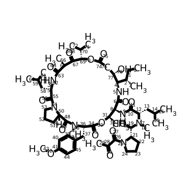 CC[C@H](C)[C@H]1NC(=O)[C@@H](NC(=O)[C@H](CC(C)C)N(C)C(O)[C@@H]2CCCN2C(=O)C(C)=O)[C@@H](C)OC(=O)[C@H](Cc2ccc(OC)cc2)N(C)C(=O)[C@@H]2CCCN2C(=O)[C@H](CC(C)C)NC(=O)[C@@H](C)C(=O)[C@H](C(C)C)OC(=O)C[C@@H]1O